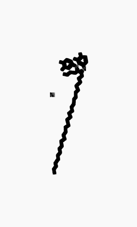 CCCCCCCCCCCCCCCCCCCCCCCCCCCCCC(=Nc1ccc(C)c(C)c1)C(CCCC)=Nc1ccc(C)c(C)c1.[Ni]